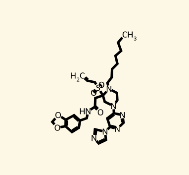 C=CCS(=O)(=O)C1(CC(=O)NCc2ccc3c(c2)OCO3)CN(c2cc(-n3ccnc3)ncn2)CCN1CCCCCCCC